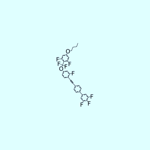 CCCCOc1cc(F)c(C(F)(F)Oc2ccc(C#Cc3ccc(-c4cc(F)c(F)c(F)c4)cc3)c(F)c2)c(F)c1